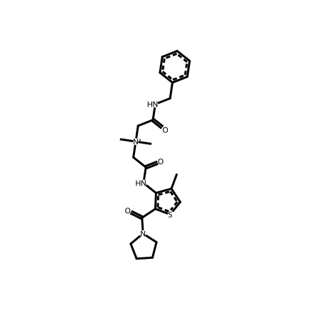 Cc1csc(C(=O)N2CCCC2)c1NC(=O)C[N+](C)(C)CC(=O)NCc1ccccc1